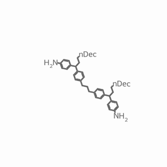 CCCCCCCCCCCCC(c1ccc(N)cc1)c1ccc(CCCc2ccc(C(CCCCCCCCCCCC)c3ccc(N)cc3)cc2)cc1